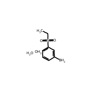 Bc1cccc(S(=O)(=O)CC)c1.O.O